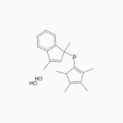 CC1=C[C](C)([Zr][C]2=C(C)C(C)=C(C)C2C)c2ccccc21.Cl.Cl